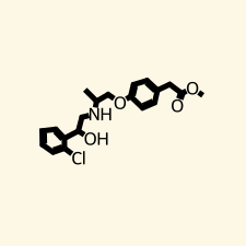 COC(=O)Cc1ccc(OCC(C)NCC(O)c2ccccc2Cl)cc1